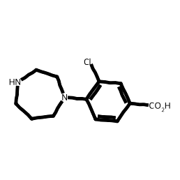 O=C(O)c1ccc(N2CCCNCC2)c(Cl)c1